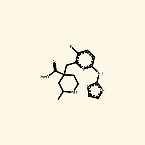 COC(=O)C1(Cc2nc(Nc3nccs3)ccc2F)CCNC(C)C1